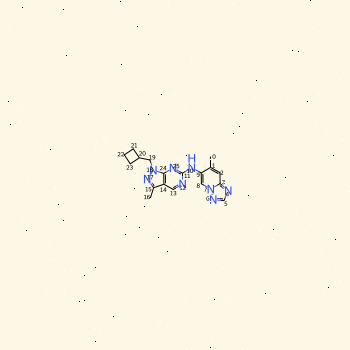 Cc1cc2ncnn2cc1Nc1ncc2c(C)nn(CC3CCC3)c2n1